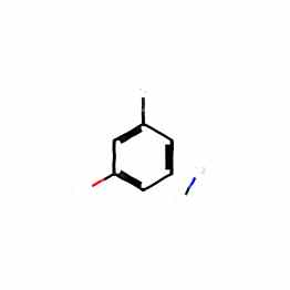 CC(N)=O.O=[N+]([O-])c1cccc(O)c1